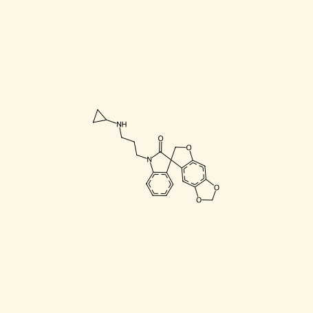 O=C1N(CCCNC2CC2)c2ccccc2C12COc1cc3c(cc12)OCO3